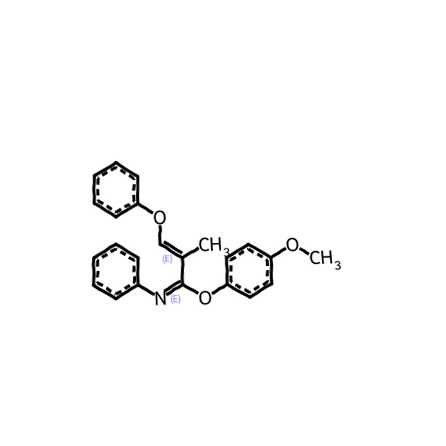 COc1ccc(OC(=N/c2ccccc2)/C(C)=C/Oc2ccccc2)cc1